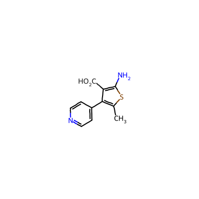 Cc1sc(N)c(C(=O)O)c1-c1ccncc1